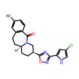 N#Cc1ccc2c(c1)CC[C@@H]1CC[C@H](c3nc(-c4cc(Cl)c[nH]4)no3)CN1C2=O